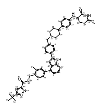 Cc1cc(-c2ccnc3[nH]c(-c4ccc(CN5CCC(c6ccc(NC7CCC(=O)NC7=O)cc6)CC5)cc4)cc23)ccc1CNC(=O)c1noc(C(C)(C)C)n1